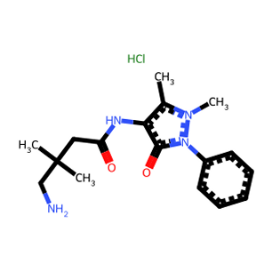 Cc1c(NC(=O)CC(C)(C)CN)c(=O)n(-c2ccccc2)n1C.Cl